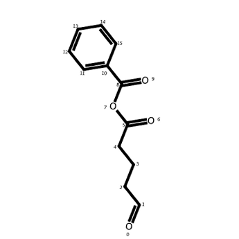 O=CCCCC(=O)OC(=O)c1ccccc1